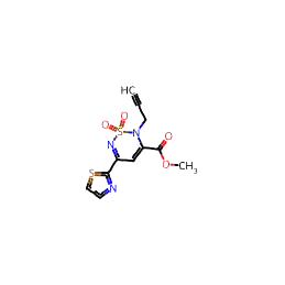 C#CCN1C(C(=O)OC)=CC(c2nccs2)=NS1(=O)=O